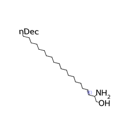 CCCCCCCCCCCCCCCCCCCCCCCCCCC/C=C/C(N)CO